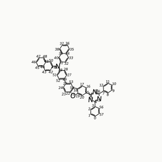 c1ccc(-c2nc(-c3ccccc3)nc(-c3ccc4c(c3)oc3ccc(-c5ccc(N(c6ccc7ccccc7c6)c6ccc7ccccc7c6)cc5)cc34)n2)cc1